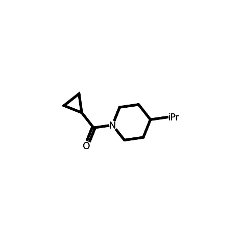 CC(C)C1CCN(C(=O)C2CC2)CC1